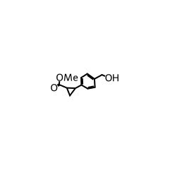 COC(=O)C1CC1c1ccc(CO)cc1